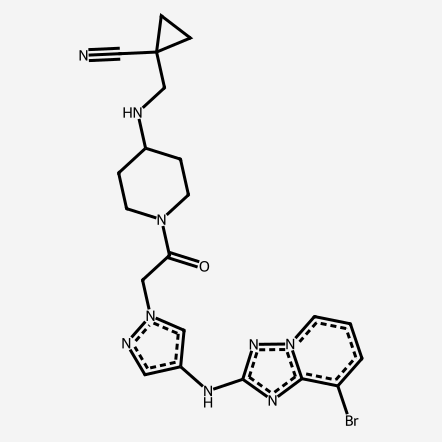 N#CC1(CNC2CCN(C(=O)Cn3cc(Nc4nc5c(Br)cccn5n4)cn3)CC2)CC1